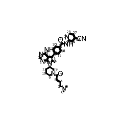 CN(C)C/C=C/C(=O)N1CCC[C@@H](n2nc(-c3ccc(C(=O)Nc4cc(C#N)ccn4)cc3)c3c(N)ncnc32)C1